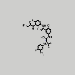 CC(C)CC(=O)Nc1c(F)ccc(NC(=O)c2cc(N/C(O)=C3/[C@H](c4ccc(F)c(C(F)(F)F)c4)C3(Cl)Cl)ccc2Cl)c1F